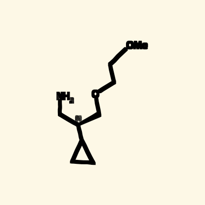 COCCOC[C@H](CN)C1CC1